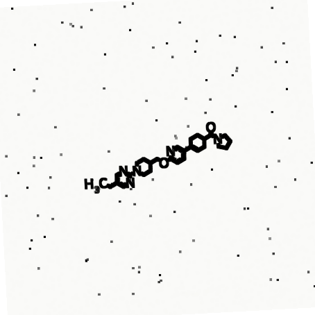 CCc1cnc(N2CCC(COc3ccc(C4=CCC(C(=O)N5CCCC5)CC4)cn3)CC2)nc1